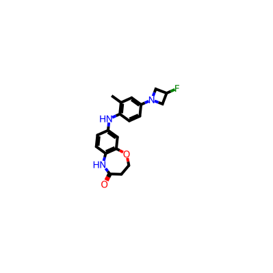 Cc1cc(N2CC(F)C2)ccc1Nc1ccc2c(c1)OCCC(=O)N2